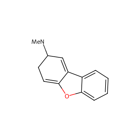 CNC1C=c2c(oc3ccccc23)=CC1